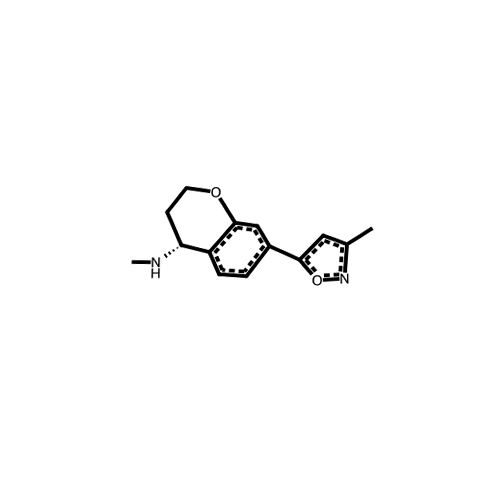 CN[C@@H]1CCOc2cc(-c3cc(C)no3)ccc21